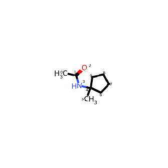 CC(=O)NC1(C)CCCC1